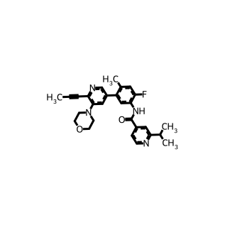 CC#Cc1ncc(-c2cc(NC(=O)c3ccnc(C(C)C)c3)c(F)cc2C)cc1N1CCOCC1